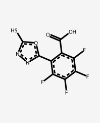 O=C(O)c1c(F)c(F)c(F)c(F)c1-c1nnc(S)o1